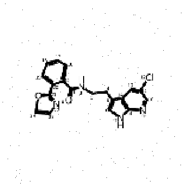 O=C(NCCc1c[nH]c2ncc(Cl)cc12)c1ccccc1-c1ncco1